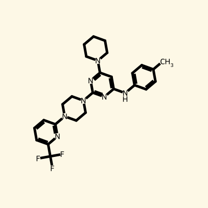 Cc1ccc(Nc2cc(N3CCCCC3)nc(N3CCN(c4cccc(C(F)(F)F)n4)CC3)n2)cc1